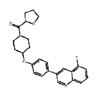 O=C(C1CCCO1)N1CCC(Oc2ccc(-c3cnc4cccc(F)c4c3)cc2)CC1